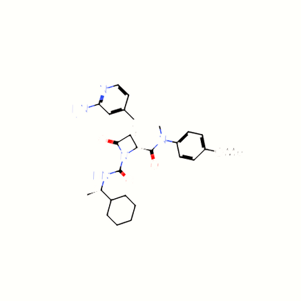 COc1ccc(N(C)C(=O)[C@@H]2[C@@H](Cc3ccnc(N)c3)C(=O)N2C(=O)N[C@H](C)C2CCCCC2)cc1